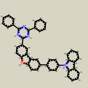 c1ccc(-c2nc(-c3ccccc3)nc(-c3ccc4oc5ccc(-c6ccc(-n7c8ccccc8c8ccccc87)cc6)cc5c4c3)n2)cc1